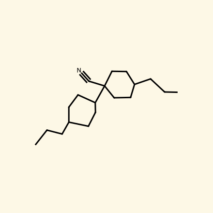 CCCC1CCC(C2(C#N)CCC(CCC)CC2)CC1